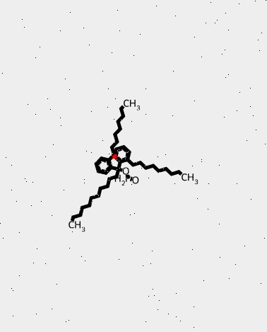 CCCCCCCCCCCC(O[PH2]=O)(c1ccccc1CCCCCCCCC)c1ccccc1CCCCCCCCC